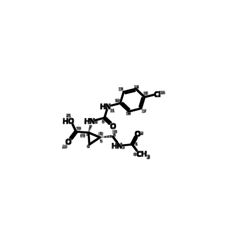 CC(=O)NC[C@@H]1C[C@@]1(NC(=O)Nc1ccc(Cl)cc1)C(=O)O